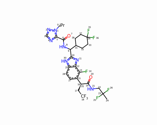 CC(C)n1ncnc1C(=O)NC(c1nc2c(F)c([C@H](CC(F)(F)F)C(=O)NCC(C)(F)F)ccc2[nH]1)C1CCC(F)(F)CC1